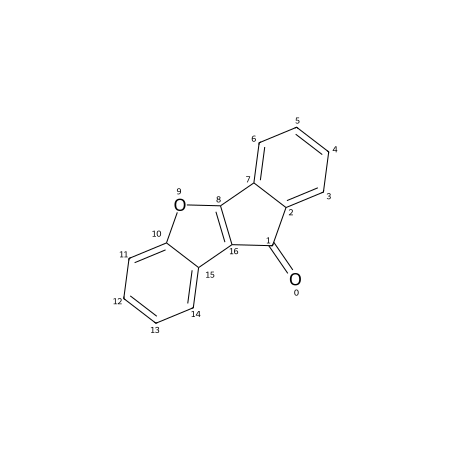 O=C1c2ccccc2-c2oc3ccccc3c21